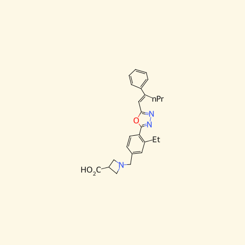 CCC/C(=C\c1nnc(-c2ccc(CN3CC(C(=O)O)C3)cc2CC)o1)c1ccccc1